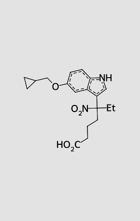 CCC(CCCC(=O)O)(c1c[nH]c2ccc(OCC3CC3)cc12)[N+](=O)[O-]